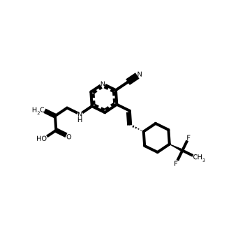 C=C(CNc1cnc(C#N)c(/C=C/[C@H]2CC[C@H](C(C)(F)F)CC2)c1)C(=O)O